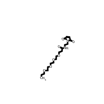 CCCOCCOCCOCCOCCC(=O)NCCN1C(=O)C=CC1=O